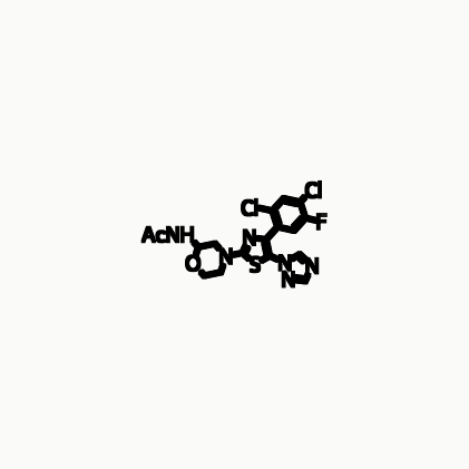 CC(=O)NC1CN(c2nc(-c3cc(F)c(Cl)cc3Cl)c(-n3cncn3)s2)CCO1